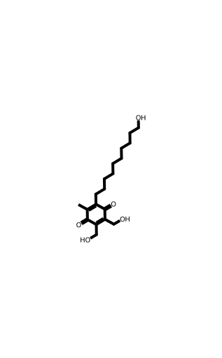 CC1=C(CCCCCCCCCCO)C(=O)C(CO)=C(CO)C1=O